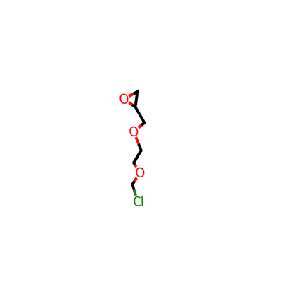 ClCOCCOCC1CO1